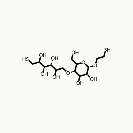 OCC1O[C@@H](OCCS)[C@@H](O)C(O)[C@@H]1OCC(O)[C@@H](O)[C@@H](O)C(O)CS